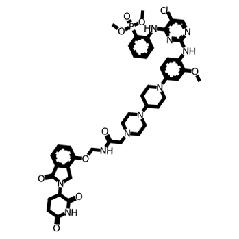 COc1cc(N2CCC(N3CCN(CC(=O)NCOc4cccc5c4CN(C4CCC(=O)NC4=O)C5=O)CC3)CC2)ccc1Nc1ncc(Cl)c(Nc2ccccc2P(=O)(OC)OC)n1